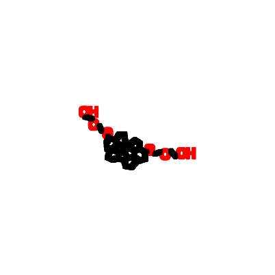 OCCOCCOc1cccc2c(C3(c4cccc5c(OCCOCCO)cccc45)c4ccccc4-c4ccccc43)cccc12